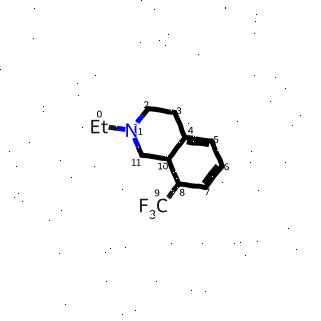 CCN1CCC2=CC=CC(C(F)(F)F)C2C1